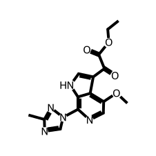 CCOC(=O)C(=O)c1c[nH]c2c(-n3cnc(C)n3)ncc(OC)c12